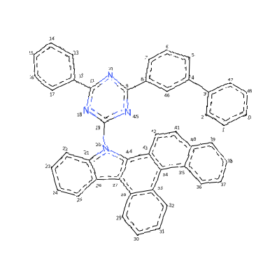 c1ccc(-c2cccc(-c3nc(-c4ccccc4)nc(-n4c5ccccc5c5c6ccccc6c6c7ccccc7ccc6c54)n3)c2)cc1